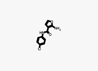 Nc1occc1C(=O)Nc1ccc(Cl)cc1